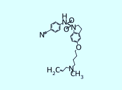 C=CCN(C)CCCCOc1ccc2c(c1)CCN2S(=O)(=O)Nc1ccc(C#N)cc1